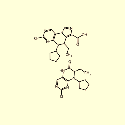 CCC1c2c(C(=O)O)ncn2-c2cnc(Cl)nc2N1C1CCCC1.CC[C@@H]1C(=O)Nc2cnc(Cl)nc2N1C1CCCC1